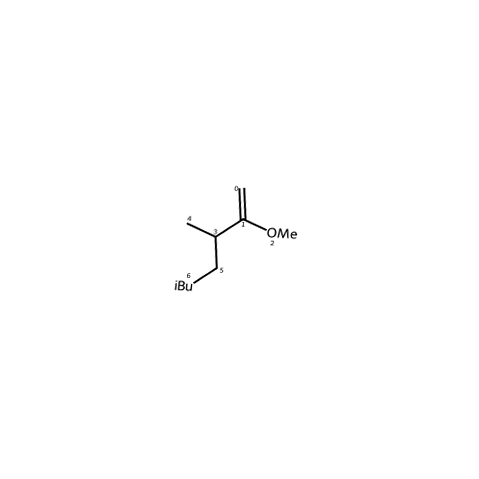 C=C(OC)C(C)CC(C)CC